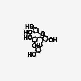 Oc1ccc(/C=C/c2cc(O)cc3c2C(c2cc(O)cc(O)c2)[C@@H](c2ccc(O)c(O)c2)O3)cc1